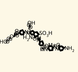 COc1cc(N)ccc1/N=N/c1ccc(NS(=O)(=O)c2ccc(/N=N/c3c(S(=O)(=O)O)cc4cc(SOOO)c(/N=N/c5ccc(S(=O)(=O)CCOSOOO)cc5)c(N)c4c3O)cc2)cc1